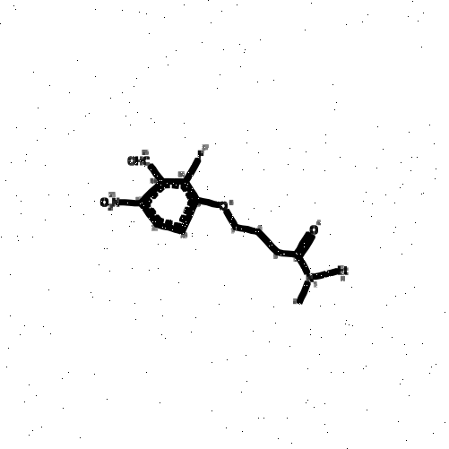 CCN(C)C(=O)CCCOc1ccc([N+](=O)[O-])c(C=O)c1F